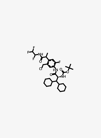 CC(C(=O)NC(F)C(F)F)c1cc(F)c(NC(=O)[C@@H](NC(=O)OC(C)(C)C)C(C2CCCCC2)C2CCCCC2)cc1CCl